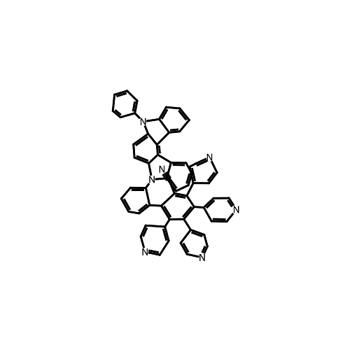 N#Cc1c(-c2ccncc2)c(-c2ccncc2)c(-c2ccncc2)c(-c2ccncc2)c1-c1ccccc1-n1c2ccccc2c2c3c4ccccc4n(-c4ccccc4)c3ccc21